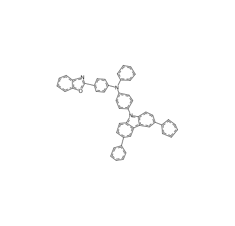 c1ccc(-c2ccc3c(c2)c2cc(-c4ccccc4)ccc2n3-c2ccc(N(c3ccccc3)c3ccc(-c4nc5ccccc5o4)cc3)cc2)cc1